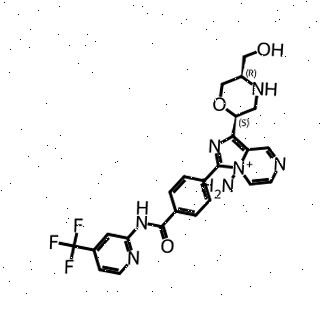 N[N+]12C=CN=CC1=C([C@@H]1CN[C@H](CO)CO1)N=C2c1ccc(C(=O)Nc2cc(C(F)(F)F)ccn2)cc1